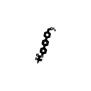 CCC1CCC(c2ccc(-c3ccc(OC(=O)C(F)(F)F)cc3)cc2)CC1